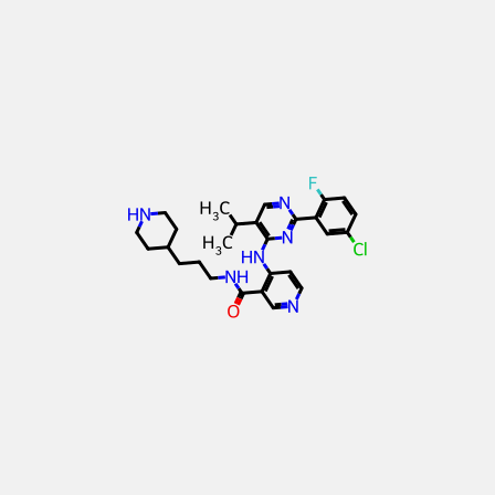 CC(C)c1cnc(-c2cc(Cl)ccc2F)nc1Nc1ccncc1C(=O)NCCCC1CCNCC1